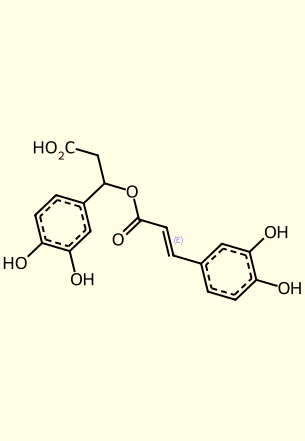 O=C(O)CC(OC(=O)/C=C/c1ccc(O)c(O)c1)c1ccc(O)c(O)c1